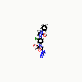 CC1(C=O)OC(N=[N+]=[N-])CN1c1ccc(-n2ccn(-c3ccccc3)c2=O)c(F)c1